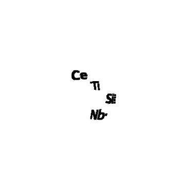 [Ce].[Nb].[Si].[Ti]